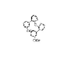 COc1cccc(-c2ccccc2Oc2ccccc2-c2cccc(OC)c2)c1